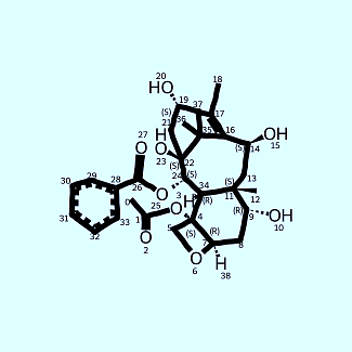 CC(=O)O[C@@]12CO[C@@H]1C[C@@H](O)[C@@]1(C)C[C@H](O)C3=C(C)[C@@H](O)C[C@@](O)([C@@H](OC(=O)c4ccccc4)[C@@H]12)C3(C)C